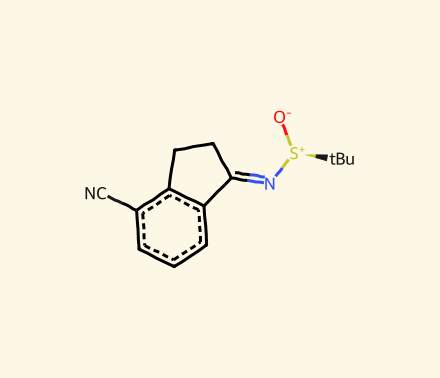 CC(C)(C)[S@+]([O-])N=C1CCc2c(C#N)cccc21